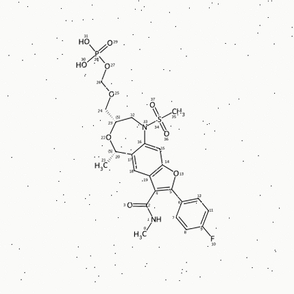 CNC(=O)c1c(-c2ccc(F)cc2)oc2cc3c(cc12)[C@H](C)O[C@H](COCOP(=O)(O)O)CN3S(C)(=O)=O